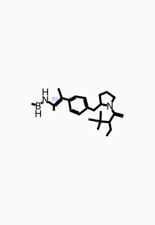 C=C(C(CC)C(C)(C)C)N1CCCC1Cc1ccc(/C(C)=C(\C)NBC)cc1